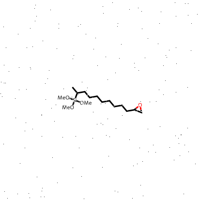 CO[Si](OC)(OC)C(C)CCCCCCCCC1CO1